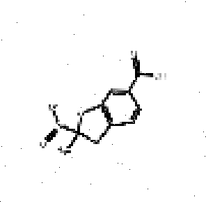 CC1([N+](=O)[O-])Cc2ccc(C(=O)O)cc2O1